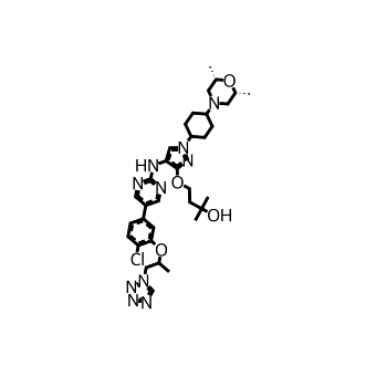 CC(Cn1cnnn1)Oc1cc(-c2cnc(Nc3cn(C4CCC(N5C[C@@H](C)O[C@@H](C)C5)CC4)nc3OCCC(C)(C)O)nc2)ccc1Cl